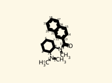 CN(C)[C@@H]1CCCC[C@H]1N(C)C(=O)c1ccc2ccccc2c1